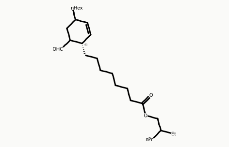 CCCCCCC1C=C[C@H](CCCCCCCC(=O)OCC(CC)CCC)C(C=O)C1